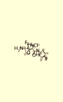 Cc1cc(NC(=O)c2ccc(F)c3c2OCC3N)ccc1F.Cl